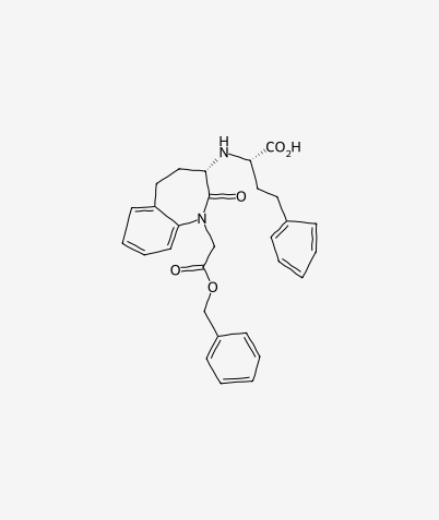 O=C(CN1C(=O)[C@@H](N[C@@H](CCc2ccccc2)C(=O)O)CCc2ccccc21)OCc1ccccc1